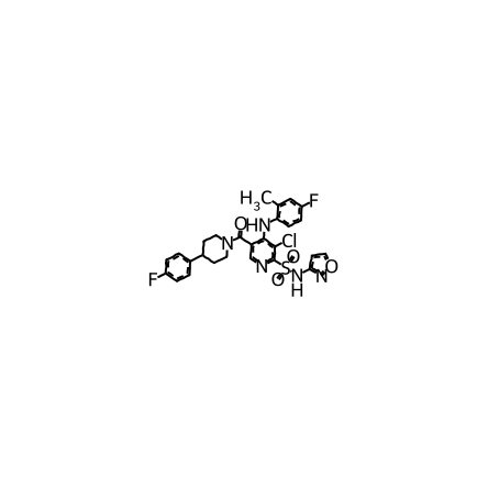 Cc1cc(F)ccc1Nc1c(C(=O)N2CCC(c3ccc(F)cc3)CC2)cnc(S(=O)(=O)Nc2ccon2)c1Cl